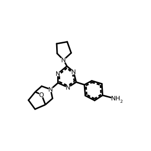 Nc1ccc(-c2nc(N3CCCC3)nc(N3CC4CCC(C3)O4)n2)cc1